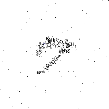 CN(C(=O)COc1ccc(-c2ccc(/C=C3/C=CC(c4cccs4)=N3)n2BF)cc1)C(C)(C)C(=O)NCCCOCCOCCOCCCC#N